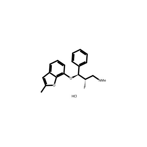 CNC[C@H](F)[C@@H](Oc1cccc2cc(C)oc12)c1ccccc1.Cl